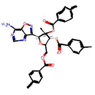 Cc1ccc(C(=O)OCC2O[C@@H](c3noc4c(N)ncnc34)[C@](C)(OC(=O)c3ccc(C)cc3)[C@@H]2OC(=O)c2ccc(C)cc2)cc1